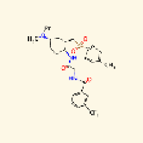 Cc1ccc(S(=O)(=O)C[C@@H]2C[C@H](N(C)C(C)C)CC[C@@H]2NC(=O)CNC(=O)c2cccc(C(F)(F)F)c2)cc1